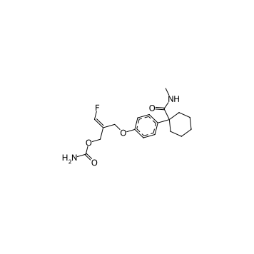 CNC(=O)C1(c2ccc(OC/C(=C\F)COC(N)=O)cc2)CCCCC1